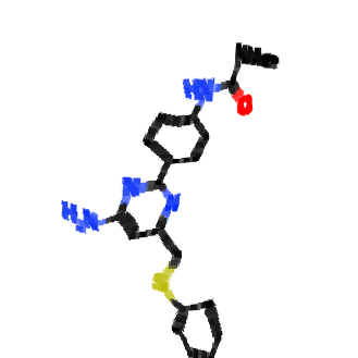 CNC(=O)Nc1ccc(-c2nc(N)cc(CSc3ccccc3)n2)cc1